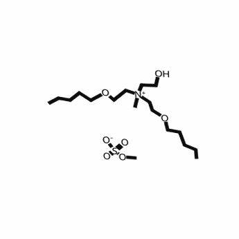 CCCCCOCC[N+](C)(CCO)CCOCCCCC.COS(=O)(=O)[O-]